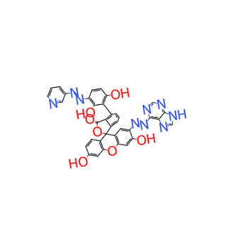 O=C1OC2(c3ccc(O)cc3Oc3cc(O)c(/N=N/c4ncnc5[nH]cnc45)cc32)c2cccc(-c3c(O)ccc(/N=N/c4cccnc4)c3O)c21